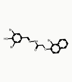 O=C(COc1ccc2ccccc2c1Br)NN=Cc1cc(Br)c(O)c(Br)c1